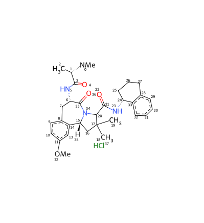 CN[C@@H](C)C(=O)N[C@H]1Cc2ccc(OC)cc2[C@H]2CC(C)(C)C(C(=O)N[C@@H]3CCCc4ccccc43)N2C1=O.Cl